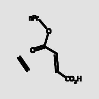 C=C.CCCOC(=O)C=CC(=O)O